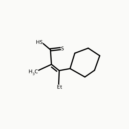 CC/C(=C(\C)C(=S)S)C1CCCCC1